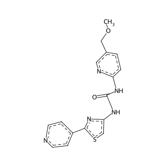 COCc1ccc(NC(=O)Nc2csc(-c3ccncc3)n2)nc1